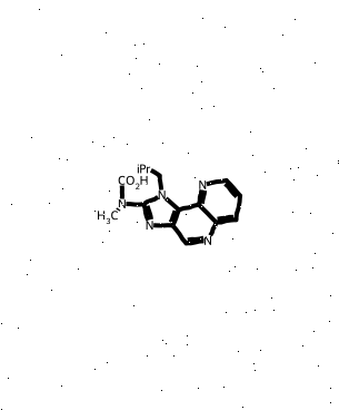 CC(C)Cn1c(N(C)C(=O)O)nc2cnc3cccnc3c21